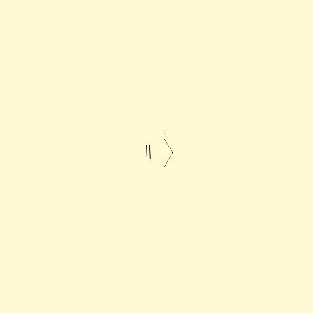 C=O.O=CCO